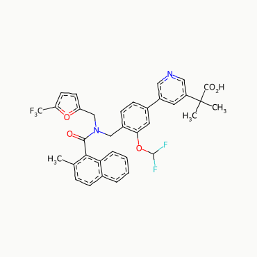 Cc1ccc2ccccc2c1C(=O)N(Cc1ccc(C(F)(F)F)o1)Cc1ccc(-c2cncc(C(C)(C)C(=O)O)c2)cc1OC(F)F